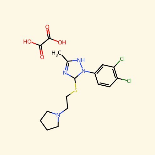 CC1=NC(SCCN2CCCC2)N(c2ccc(Cl)c(Cl)c2)N1.O=C(O)C(=O)O